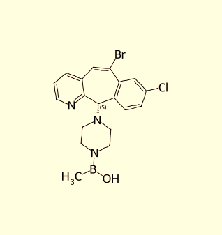 CB(O)N1CCN([C@H]2c3ccc(Cl)cc3C(Br)=Cc3cccnc32)CC1